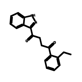 CCc1ccccc1C(=O)CCC(=O)c1n[nH]c2ccccc12